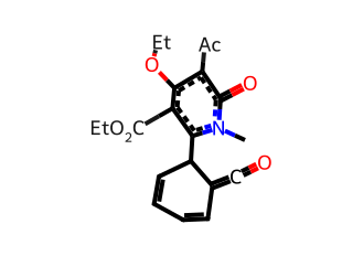 CCOC(=O)c1c(OCC)c(C(C)=O)c(=O)n(C)c1C1C=CC=CC1=C=O